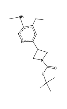 CCc1cc(C2CN(C(=O)OC(C)(C)C)C2)ncc1NC